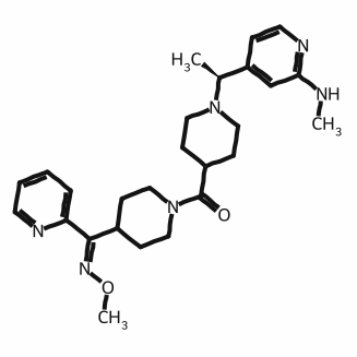 CNc1cc([C@H](C)N2CCC(C(=O)N3CCC(/C(=N\OC)c4ccccn4)CC3)CC2)ccn1